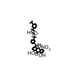 C=C(C)c1cccc(C(C)(C)NC(=O)OC(C)c2cccc(Nc3ccc(O)c4c3C(=O)c3c([N+](=O)[O-])ccc(O)c3C4=O)c2)c1